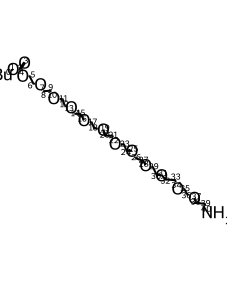 CC(C)(C)OC(=O)OCCOCCOCCOCCOCCOCCOCCOCCOCCOCCOCCOCCN